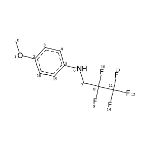 COc1ccc(NCC(F)(F)C(F)(F)F)cc1